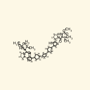 COC(=O)N[C@H](C(=O)N1CCC[C@H]1c1ncc(-c2ccc(-c3ccc(-c4ccc(-c5cnc([C@@H]6CCCN6C(=O)[C@@H](NC(=O)OC)C(C)C)[nH]5)cc4)s3)cc2)[nH]1)C(C)C